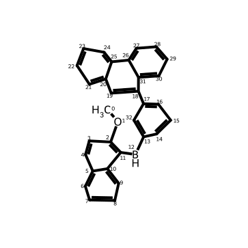 COc1ccc2ccccc2c1Bc1cccc(-c2cc3ccccc3c3ccccc23)c1